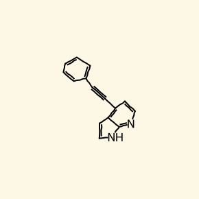 C(#Cc1ccnc2[nH]ccc12)c1ccccc1